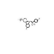 C/C(=C\n1c2c(c3cc(I)ccc31)CN(C)CC2)c1ccc(F)cc1